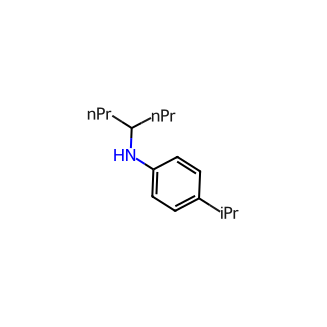 CCCC(CCC)Nc1ccc(C(C)C)cc1